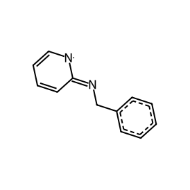 C1=C[N]/C(=N/Cc2ccccc2)C=C1